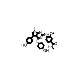 CNC(=O)c1ccc(Nc2nc(O[C@H]3CC[C@@H](O)CC3)c3c(-c4ccc(O)cc4)c[nH]c3n2)c(OC)c1